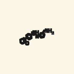 NCc1cccc(NC2C=CN2c2ccc(N3CCCCC3=O)cc2)c1